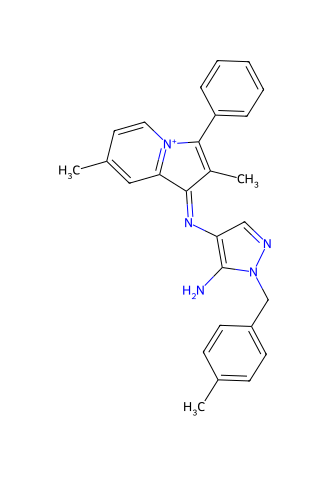 CC1=C(c2ccccc2)[n+]2ccc(C)cc2/C1=N/c1cnn(Cc2ccc(C)cc2)c1N